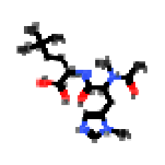 CC(=O)N(C)[C@@H](Cc1cncn1C)C(=O)N[C@@H](CCC(C)(C)C)C(=O)O